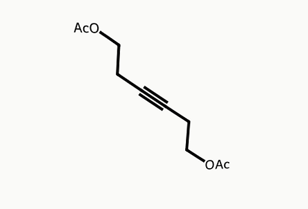 CC(=O)OCCC#CCCOC(C)=O